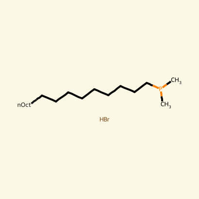 Br.CCCCCCCCCCCCCCCCCP(C)C